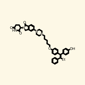 CCC(=C(c1ccc(O)cc1)c1ccc(OCCCCCN2CCN(c3ccc4c(c3)CN(C3CCC(=O)NC3=O)C4=O)CC2)cc1)c1ccccc1